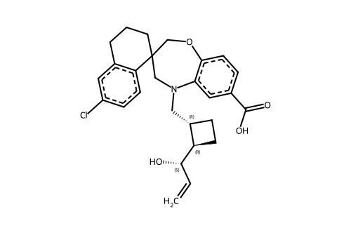 C=C[C@H](O)[C@@H]1CC[C@H]1CN1CC2(CCCc3cc(Cl)ccc32)COc2ccc(C(=O)O)cc21